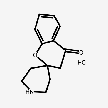 Cl.O=C1CC2(CCNCC2)Oc2ccccc21